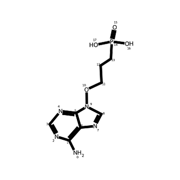 Nc1ncnc2c1ncn2OCCCP(=O)(O)O